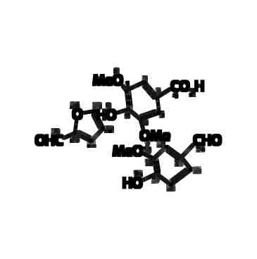 COc1cc(C(=O)O)cc(OC)c1O.COc1cc(C=O)ccc1O.O=Cc1ccco1